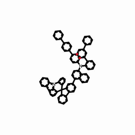 c1ccc(-c2ccc(-c3ccc(N(c4ccccc4-c4cccc(-c5ccccc5)c4)c4ccc(-c5ccc6c(c5)C5(c7ccccc7-6)c6ccccc6-n6c7ccccc7c7cccc5c76)c5ccccc45)cc3)cc2)cc1